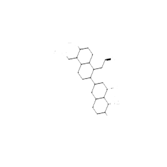 CC(=O)OCC1C(O)CCC2C1CCC(C1CC3C[C@@H](C)C(O)[C@H](OC(C)=O)[C@]3(CO)[C@H](O)C1)C2CC=S